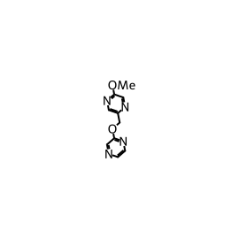 COc1cnc(COc2cnccn2)cn1